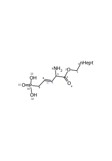 CCCCCCCCOC(=O)C(N)/C=C/CP(=O)(O)O